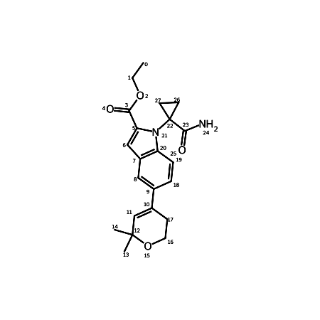 CCOC(=O)c1cc2cc(C3=CC(C)(C)OCC3)ccc2n1C1(C(N)=O)CC1